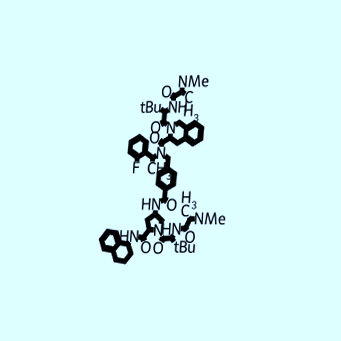 CNC(C)C(=O)NC(C(=O)N1CC(NC(=O)c2ccc(CN(C(=O)C3Cc4ccccc4CN3C(=O)C(NC(=O)C(C)NC)C(C)(C)C)C(C)c3ccccc3F)cc2)CC1C(=O)NC1CCCc2ccccc21)C(C)(C)C